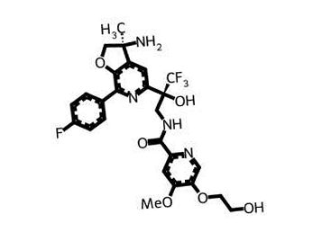 COc1cc(C(=O)NC[C@@](O)(c2cc3c(c(-c4ccc(F)cc4)n2)OC[C@@]3(C)N)C(F)(F)F)ncc1OCCO